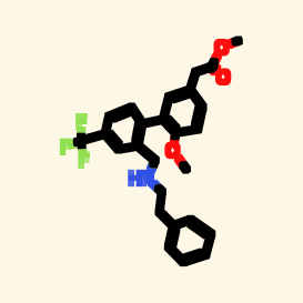 COC(=O)Cc1ccc(OC)c(-c2ccc(C(F)(F)F)cc2CNCCc2ccccc2)c1